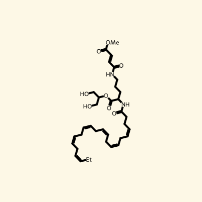 CC/C=C\C/C=C\C/C=C\C/C=C\C/C=C\C/C=C\CCC(=O)NC(CCCNC(=O)/C=C/C(=O)OC)C(=O)OC(CO)CO